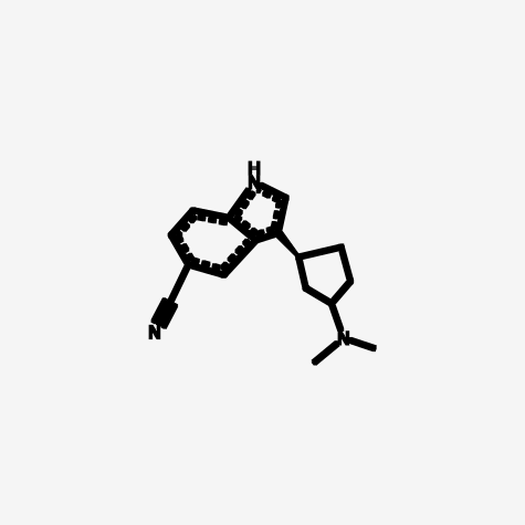 CN(C)C1CC[C@H](c2c[nH]c3ccc(C#N)cc23)C1